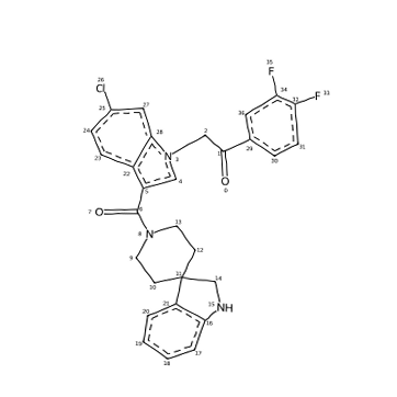 O=C(Cn1cc(C(=O)N2CCC3(CC2)CNc2ccccc23)c2ccc(Cl)cc21)c1ccc(F)c(F)c1